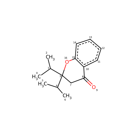 CC(C)C1(C(C)C)CC(=O)c2ccccc2O1